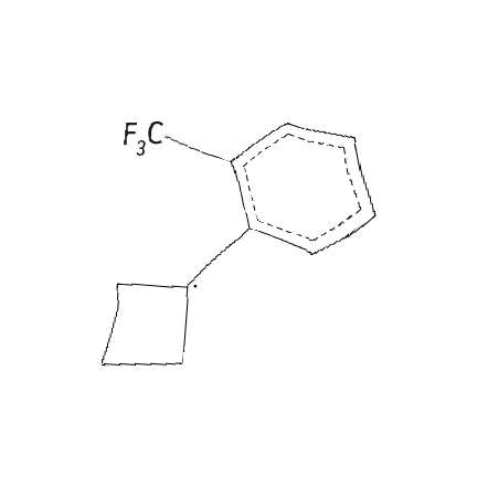 FC(F)(F)c1ccccc1[C]1CCC1